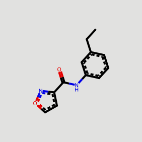 CCc1cccc(NC(=O)c2ccon2)c1